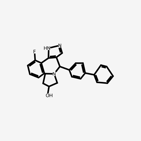 OC1CCN(C(c2ccc(-c3ccccc3)cc2)c2cn[nH]c2-c2ccccc2F)C1